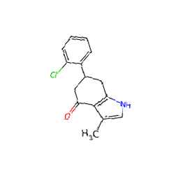 Cc1c[nH]c2c1C(=O)CC(c1ccccc1Cl)C2